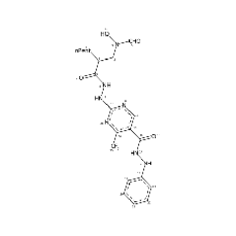 CCCCCC(CN(O)C=O)C(=O)NNc1ncc(C(=O)NNc2ccccc2)c(C(F)(F)F)n1